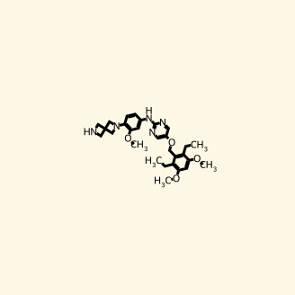 CCc1c(OC)cc(OC)c(CC)c1COc1cnc(Nc2ccc(N3CC4(CNC4)C3)c(OC)c2)nc1